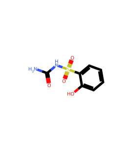 NC(=O)NS(=O)(=O)c1ccccc1O